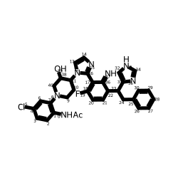 CC(=O)Nc1ccc(Cl)cc1N1CCC(n2ccnc2C2=C(F)C=CC(C(Cc3ccccc3)c3c[nH]cn3)C2=N)C(O)C1